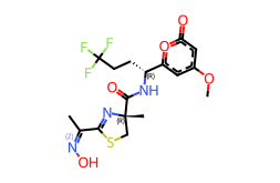 COc1cc([C@@H](CCC(F)(F)F)NC(=O)[C@]2(C)CSC(/C(C)=N\O)=N2)oc(=O)c1